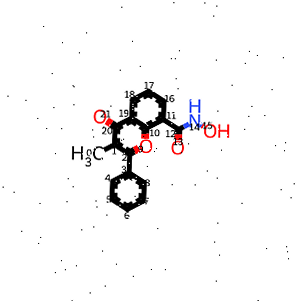 Cc1c(-c2ccccc2)oc2c(C(=O)NO)cccc2c1=O